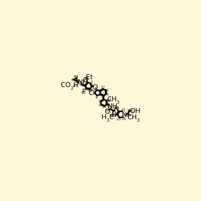 CCOc1cc(OC2CCc3c(-c4cccc(NC(=O)c5nc6c(n5C)CCN(C(C)CO)C6)c4C)cccc32)c(Cl)c(F)c1CNC1(C(=O)O)CC1